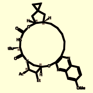 CCC1[C@@H]2CN(C(=O)[C@H](C(C)(C)C)NC(=O)O[C@@H]3CC4(CC4)C[C@H]3CCCCCc3nc4ccc(OC)cc4nc3O2)[C@@H]1C(C)=O